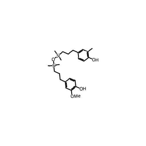 COc1cc(CCC[Si](C)(C)O[Si](C)(C)CCCc2ccc(O)c(C)c2)ccc1O